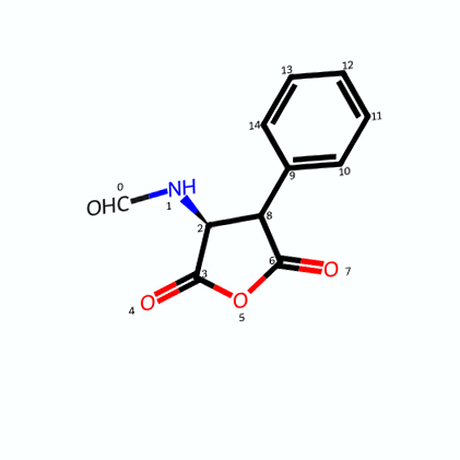 O=CN[C@@H]1C(=O)OC(=O)C1c1ccccc1